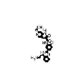 COc1cc2[nH]c(=O)c(C(=O)Nc3cc(C(=O)NC(CCN)c4ccccc4)ccc3Cl)cc2cn1